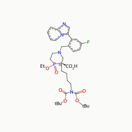 CCOP1(=O)CCN(Cc2ccc(F)cc2-c2cnc3ccccn23)C[C@@]1(CCCCN(C(=O)OC(C)(C)C)C(=O)OC(C)(C)C)C(=O)O